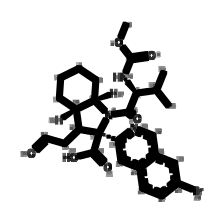 COC(=O)N[C@H](C(=O)N1[C@H]2CCCC[C@H]2C(CC=O)[C@@]1(C(=O)O)c1cc2ccc(Br)cc2cn1)C(C)C